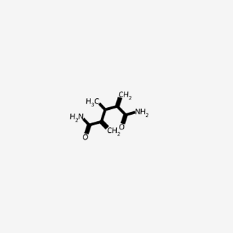 C=C(C(N)=O)C(C)C(=C)C(N)=O